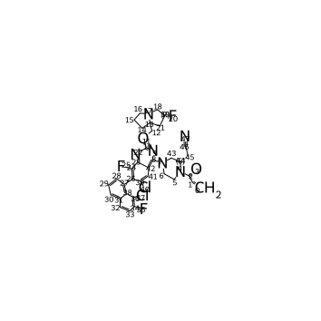 C=CC(=O)N1CCN(c2nc(OCC34CCCN3C[C@H](F)C4)nc3c(F)c(-c4cccc5ccc(F)c(Cl)c45)c(Cl)cc23)C[C@@H]1CC#N